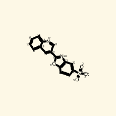 CCS(=O)(=O)c1ccc2oc(-c3cnc4ccccc4c3)nc2c1